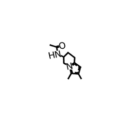 CC(=O)NC1CCc2cc(C)c(C)n2C1